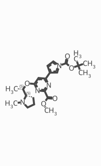 COC(=O)c1nc(O[C@@H](C)[C@@H]2CCCN2C)cc(-c2ccn(C(=O)OC(C)(C)C)c2)n1